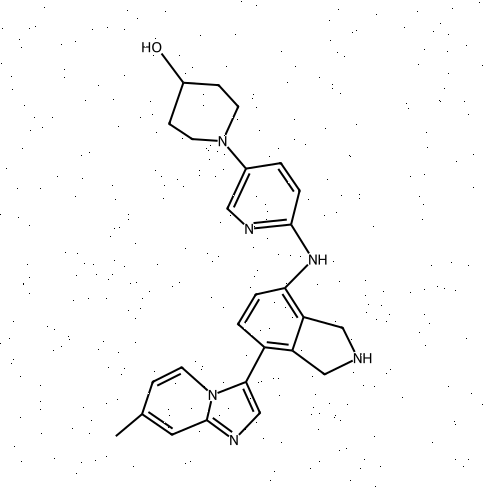 Cc1ccn2c(-c3ccc(Nc4ccc(N5CCC(O)CC5)cn4)c4c3CNC4)cnc2c1